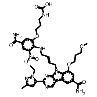 CCn1nc(C)cc1-c1ncc2c3cc(C(N)=O)cc(OCCCOC)c3n(C/C=C/CNc3c(OCCCNC(=O)O)cc(C(N)=O)cc3[N+](=O)[O-])c2n1